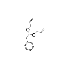 C=CCOC(Cc1ccccc1)OCC=C